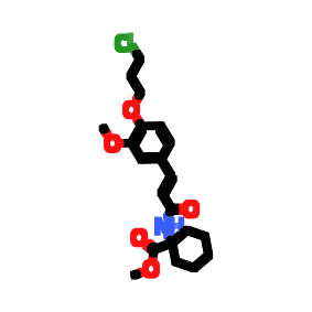 COC(=O)C1(NC(=O)/C=C/c2ccc(OCCCCl)c(OC)c2)CCCCC1